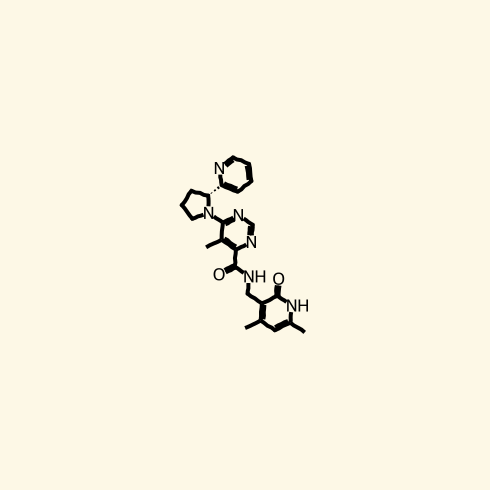 Cc1cc(C)c(CNC(=O)c2ncnc(N3CCC[C@@H]3c3ccccn3)c2C)c(=O)[nH]1